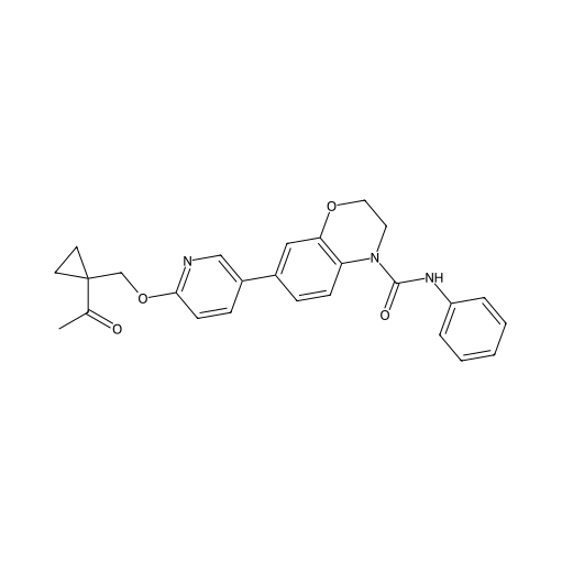 CC(=O)C1(COc2ccc(-c3ccc4c(c3)OCCN4C(=O)Nc3ccccc3)cn2)CC1